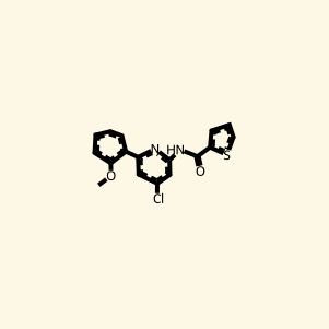 COc1ccccc1-c1cc(Cl)cc(NC(=O)c2cccs2)n1